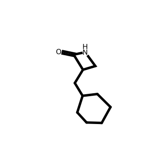 O=C1NCC1CC1CCCCC1